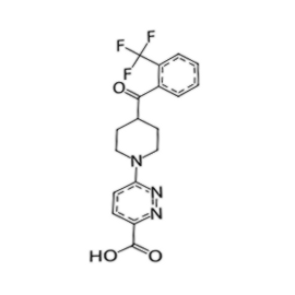 O=C(O)c1ccc(N2CCC(C(=O)c3ccccc3C(F)(F)F)CC2)nn1